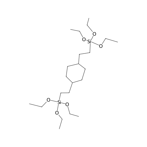 CCO[Si](CCC1CCC(CC[Si](OCC)(OCC)OCC)CC1)(OCC)OCC